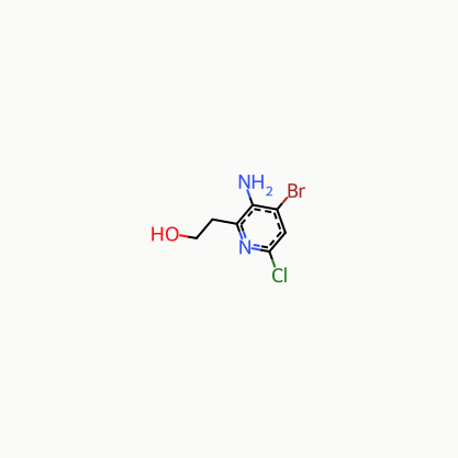 Nc1c(Br)cc(Cl)nc1CCO